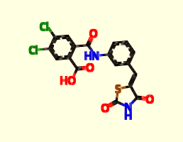 O=C1NC(=O)C(=Cc2cccc(NC(=O)c3cc(Cl)c(Cl)cc3C(=O)O)c2)S1